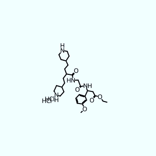 CCOC(=O)CC(NC(=O)CNC(=O)C(CCC1CCNCC1)CCC1CCNCC1)c1cccc(OC)c1.Cl.Cl